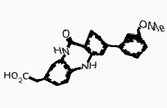 COc1cccc(-c2ccc3c(c2)Nc2ccc(CC(=O)O)cc2NC3=O)c1